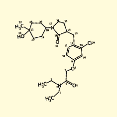 CCN(CC)C(=O)COc1ccc(CC2CCN(C3CCC(C)(O)CC3)C2=O)c(Cl)c1